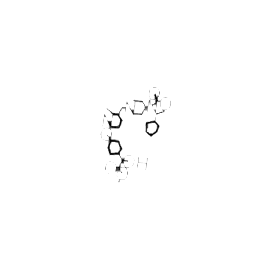 COC(=O)C(O)c1ccc(Oc2ccc(CN3CCC(N4C(=O)OC[C@H]4c4ccccc4)CC3)c(C)n2)cc1